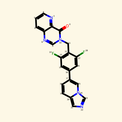 O=c1c2ncccc2ncn1Cc1c(F)cc(-c2ccc3cncn3c2)cc1F